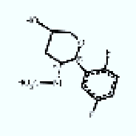 O=C(O)N[C@@H]1CC(O)CO[C@H]1c1cc(F)ccc1F